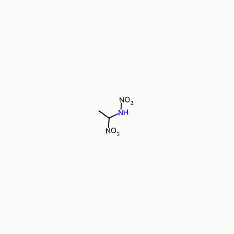 CC(N[N+](=O)[O-])[N+](=O)[O-]